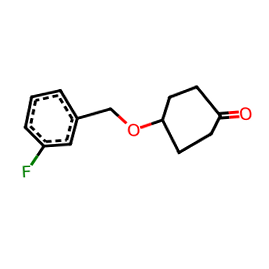 O=C1CCC(OCc2cccc(F)c2)CC1